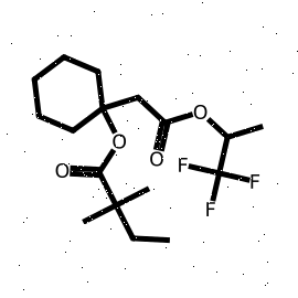 CCC(C)(C)C(=O)OC1(CC(=O)OC(C)C(F)(F)F)CCCCC1